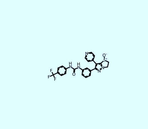 O=C(Nc1ccc(C(F)(F)F)cc1)Nc1cccc(-c2nn3c(c2-c2ccncc2)[S+]([O-])CC3)c1